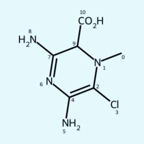 CN1C(Cl)=C(N)N=C(N)C1C(=O)O